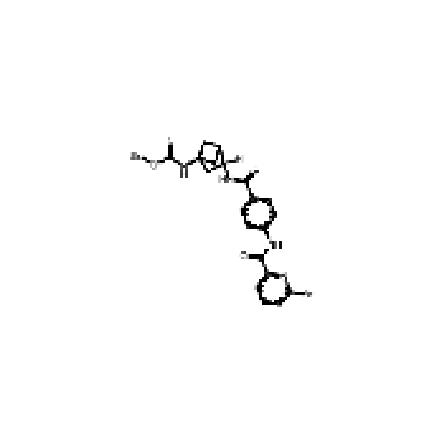 CC(C)(C)OC(=O)NC12CC(C1)[C@H](NC(=O)c1ccc(NC(=O)c3cccc(Br)n3)cc1)C2